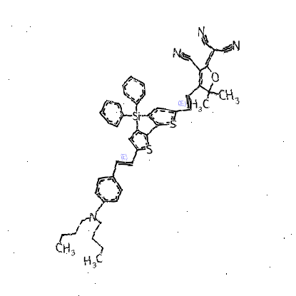 CCCCN(CCCC)c1ccc(/C=C/c2cc3c(s2)-c2sc(/C=C/C4=C(C#N)C(=C(C#N)C#N)OC4(C)C)cc2[Si]3(c2ccccc2)c2ccccc2)cc1